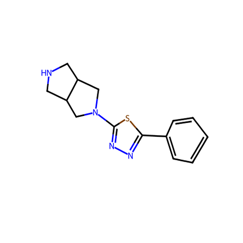 c1ccc(-c2nnc(N3CC4CNCC4C3)s2)cc1